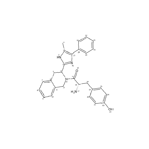 Cc1[nH]c(C2Cc3ccccc3CN2C(=O)[C@@H](N)Cc2ccc(O)cc2)nc1-c1ccccc1